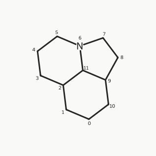 C1CC2CCCN3CCC(C1)C23